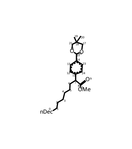 CCCCCCCCCCCCCCCCC(C(=O)OC)c1ccc(C2OCC(C)(C)CO2)cc1